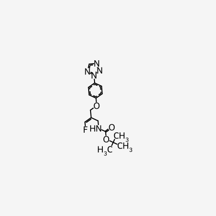 CC(C)(C)OC(=O)NC/C(=C\F)COc1ccc(-n2ncnn2)cc1